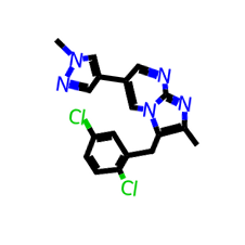 Cc1nc2ncc(-c3cnn(C)c3)cn2c1Cc1cc(Cl)ccc1Cl